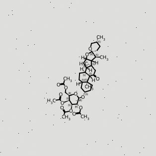 CC(=O)OC[C@H]1O[C@@H](O[C@H]2CC[C@@]3(C)[C@@H](CC[C@H]4[C@@H]5C[C@@H]6O[C@]7(CC[C@@H](C)CO7)[C@@H](C)[C@@H]6[C@@]5(C)CC(=O)[C@@H]43)C2)[C@H](OC(C)=O)[C@@H](OC(C)=O)[C@H]1OC(C)=O